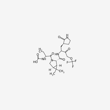 CCC(NC(=O)O)C(=O)N1C[C@H]2[C@@H]([C@H]1C(=O)NC(C[C@@H]1CCNC1=O)C(=O)COC(F)(F)F)C2(C)C